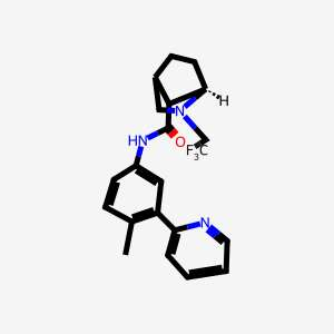 Cc1ccc(NC(=O)C2C3CC[C@H]2N(CC(F)(F)F)C3)cc1-c1ccccn1